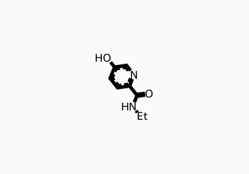 CCNC(=O)c1ccc(O)cn1